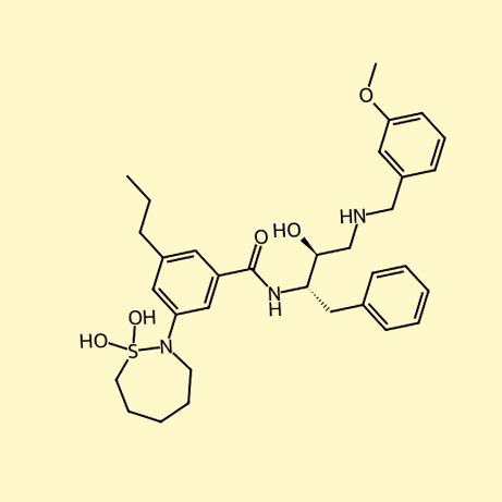 CCCc1cc(C(=O)N[C@@H](Cc2ccccc2)[C@@H](O)CNCc2cccc(OC)c2)cc(N2CCCCCS2(O)O)c1